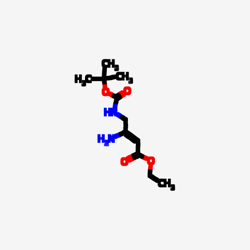 CCOC(=O)C=C(N)CNC(=O)OC(C)(C)C